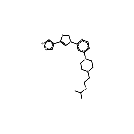 CC(C)OCCN1CCN(c2ccnc(N3C=C(c4cn[nH]c4)SC3)c2)CC1